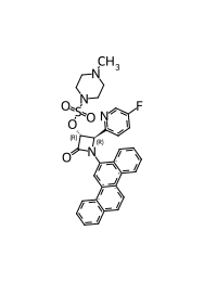 CN1CCN(S(=O)(=O)O[C@H]2C(=O)N(c3cc4c5ccccc5ccc4c4ccccc34)[C@@H]2c2ccc(F)cn2)CC1